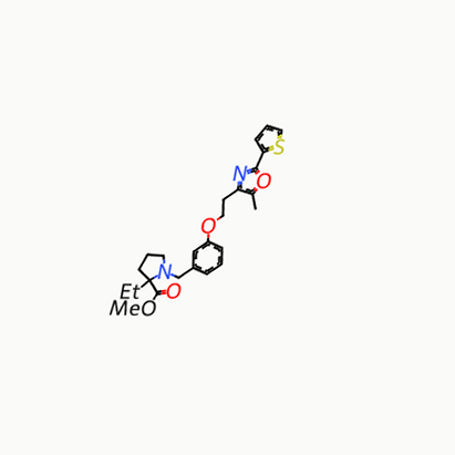 CCC1(C(=O)OC)CCCN1Cc1cccc(OCCc2nc(-c3cccs3)oc2C)c1